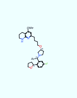 COc1cc(CCCCO[C@@H]2CCN([C@H](C(C)=O)c3cc(F)ccc3[C@@H]3CCCO3)C2)nc2c1CCCN2